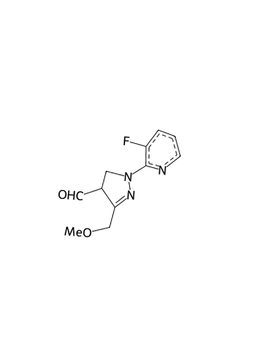 COCC1=NN(c2ncccc2F)CC1C=O